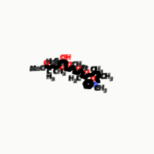 CCC1(C2OC(C3OC(CN(C)c4ccccc4)=C(C)CC3C)CC2C)CCC(C2(C)CCC3(CC(O)C(C)C(C(C)C(OC)C(C)C(=O)OC)O3)O2)O1